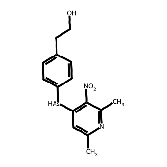 Cc1cc([AsH]c2ccc(CCO)cc2)c([N+](=O)[O-])c(C)n1